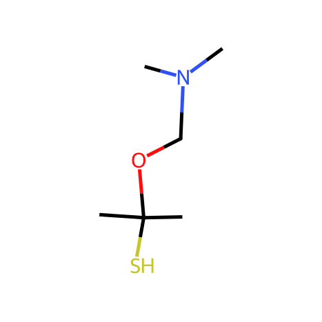 CN(C)COC(C)(C)S